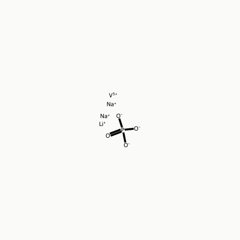 O=P([O-])([O-])[O-].[Li+].[Na+].[Na+].[V+5]